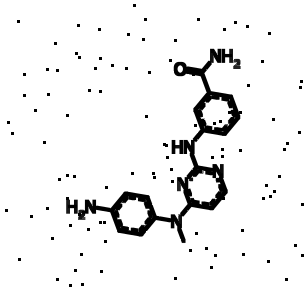 CN(c1ccc(N)cc1)c1ccnc(Nc2cccc(C(N)=O)c2)n1